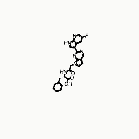 O=C(Cn1ccc2cnc(-c3c[nH]c4ncc(F)cc34)nc21)N[C@@H](Cc1ccccc1)C(=O)O